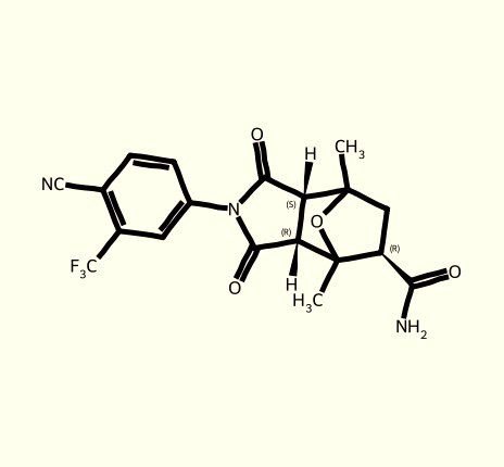 CC12C[C@@H](C(N)=O)C(C)(O1)[C@@H]1C(=O)N(c3ccc(C#N)c(C(F)(F)F)c3)C(=O)[C@@H]12